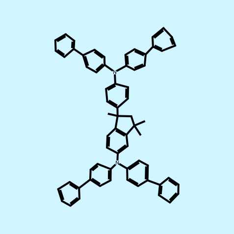 CC1(C)CC(C)(c2ccc(N(c3ccc(-c4ccccc4)cc3)c3ccc(-c4ccccc4)cc3)cc2)c2ccc(N(c3ccc(-c4ccccc4)cc3)c3ccc(-c4ccccc4)cc3)cc21